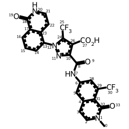 Cn1ccc2cc(NC(=O)c3nn(-c4cccc5c(=O)[nH]ccc45)c(C(F)(F)F)c3C(=O)O)cc(C(F)(F)F)c2c1=O